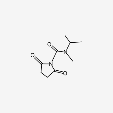 CC(C)N(C)C(=O)N1C(=O)CCC1=O